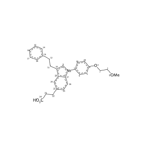 COCCOc1ccc(-n2cc(CCc3ccccc3)c3cc(CCC(=O)O)ccc32)cc1